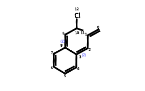 C=C/C=c1/cccc/c1=C/C(C)Cl